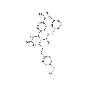 COc1ccc(CCC2=C(C(=O)OCc3cccc(C#N)c3)C(c3ccc(OC)nc3)NC(=O)N2)cc1